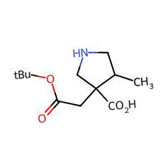 CC1CNCC1(CC(=O)OC(C)(C)C)C(=O)O